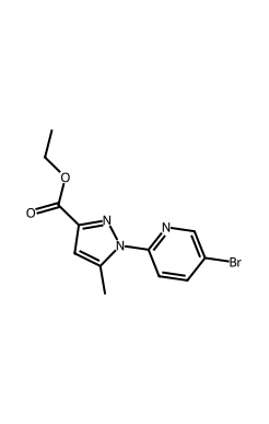 CCOC(=O)c1cc(C)n(-c2ccc(Br)cn2)n1